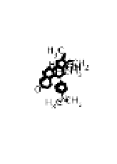 C=C[C@]1(O)/C(=C/C)C[C@H]2[C@@H]3CCC4=CC(=O)CCC4=C3[C@@H](c3ccc(N(C)C)cc3)C[C@@]21C